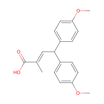 COc1ccc(C(C=C(C)C(=O)O)c2ccc(OC)cc2)cc1